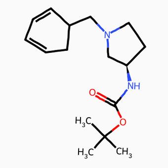 CC(C)(C)OC(=O)N[C@@H]1CCN(CC2C=CC=CC2)C1